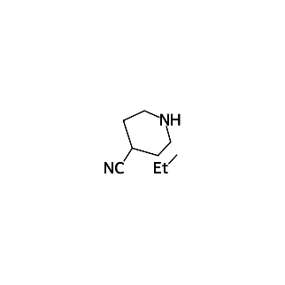 CCC.N#CC1CCNCC1